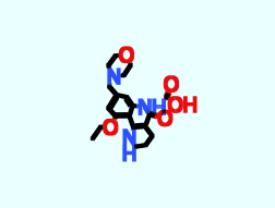 CCOc1cc(CN2CCOCC2)cc2[nH]c(=O)c3c(c12)NCCC3.O=CO